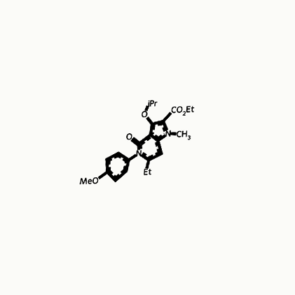 CCOC(=O)c1c(OC(C)C)c2c(=O)n(-c3ccc(OC)cc3)c(CC)cc2n1C